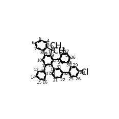 CC1(C)c2ccccc2-c2cc(-c3ccccc3)c(-c3cccc(-c4ccc(Cl)cc4)c3)c(-c3ccccc3)c21